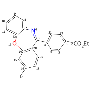 CCOC(=O)c1ccc(C2=Nc3ccccc3Oc3cc(C)ccc32)cc1